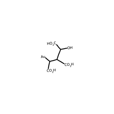 O=C(O)C(O)C(C(=O)O)[CH]([Au])C(=O)O